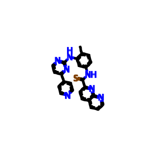 Cc1ccc(NC(=S)c2ccc3cccnc3n2)cc1Nc1nccc(-c2ccncc2)n1